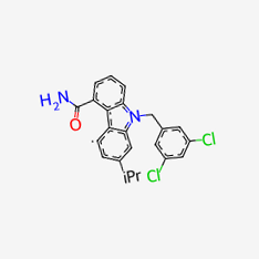 CC(C)c1c[c]c2c3c(C(N)=O)cccc3n(Cc3cc(Cl)cc(Cl)c3)c2c1